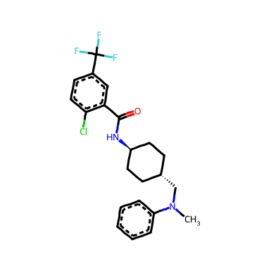 CN(C[C@H]1CC[C@H](NC(=O)c2cc(C(F)(F)F)ccc2Cl)CC1)c1ccccc1